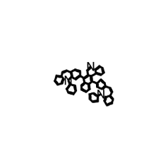 C1=Cc2ccc(-c3c4ccccc4c(-c4ccc5c(c4)N(c4ccccc4)c4ccccc4C=C5)c4c3cnc3ccccc34)cc2N(c2ccccc2)c2ccccc21